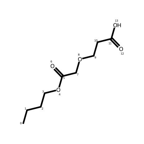 CCCCOC(=O)COCCC(=O)O